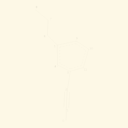 CC#Cc1[c]c(CCC)ccc1